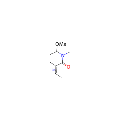 C/C=C(/C)C(=O)N(C)C(C)OC